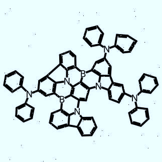 c1ccc(N(c2ccccc2)c2ccc3c(c2)c2cc(N(c4ccccc4)c4ccccc4)cc4c2n3-c2cc3c5c6c2B4c2cccc4c7cc(N(c8ccccc8)c8ccccc8)cc(c7n-6c24)B5c2cccc4c5ccccc5n-3c24)cc1